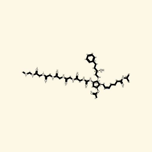 COCOC(=O)COC(=O)COC(=O)COC(=O)COC(=O)COC(=O)O[C@@H]1C[C@H](OC(C)=O)[C@H](C/C=C\CCCC(=O)OC(C)C)[C@H]1CC[C@@H](O)CCc1ccccc1